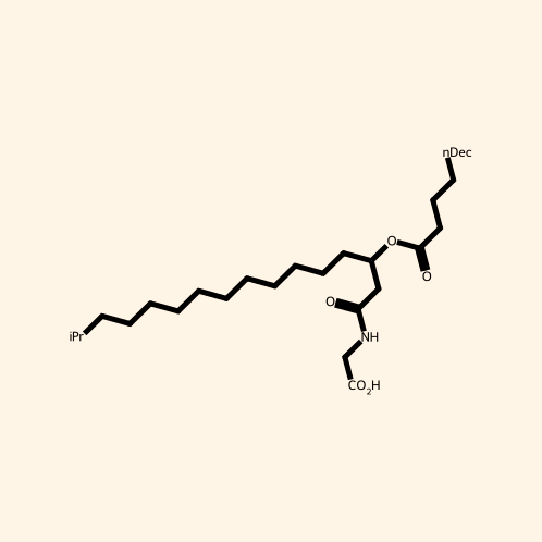 CCCCCCCCCCCCCC(=O)OC(CCCCCCCCCCCC(C)C)CC(=O)NCC(=O)O